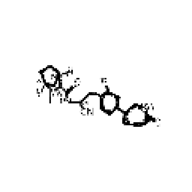 N#C[C@H](Cc1ccc(-c2ccc(=O)[nH]c2)cc1F)NC(=O)[C@H]1N[C@@H]2CC[C@H]1C2